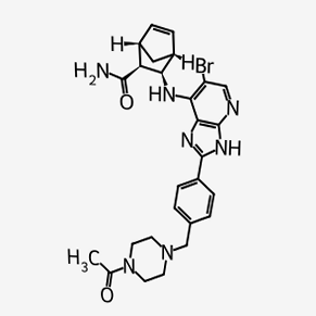 CC(=O)N1CCN(Cc2ccc(-c3nc4c(N[C@H]5[C@@H](C(N)=O)[C@@H]6C=C[C@H]5C6)c(Br)cnc4[nH]3)cc2)CC1